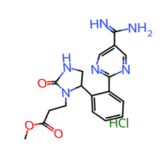 COC(=O)CCN1C(=O)NCC1c1ccccc1-c1ncc(C(=N)N)cn1.Cl